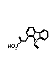 C=Cn1c2ccccc2c2cccc(CC(=C)C(=O)O)c21